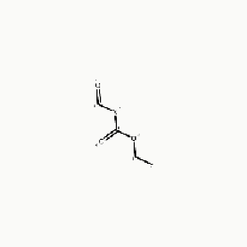 CCOC(=O)[N]C=O